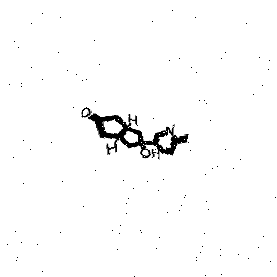 Cc1ccc(C2(O)C[C@H]3CC(=O)C[C@H]3C2)cn1